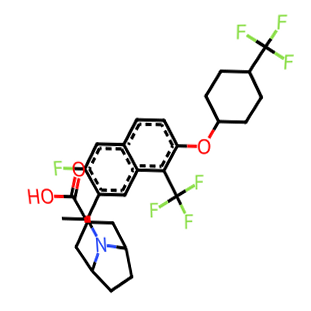 CC(c1cc2c(C(F)(F)F)c(OC3CCC(C(F)(F)F)CC3)ccc2cc1F)N1C2CCC1CC(C(=O)O)C2